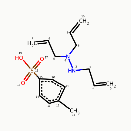 C=CCNN(CC=C)CC=C.Cc1ccc(S(=O)(=O)O)cc1